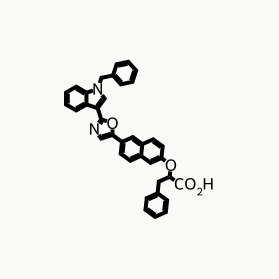 O=C(O)C(Cc1ccccc1)Oc1ccc2cc(-c3cnc(-c4cn(Cc5ccccc5)c5ccccc45)o3)ccc2c1